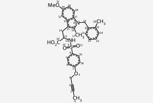 CC#CCOc1ccc(S(=O)(=O)NC(Cc2c(C)n(Cc3ccccc3C)c3ccc(OC)cc23)C(=O)O)cc1